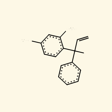 C=CC(O)(c1ccccc1)c1ccc(OC)cc1OC